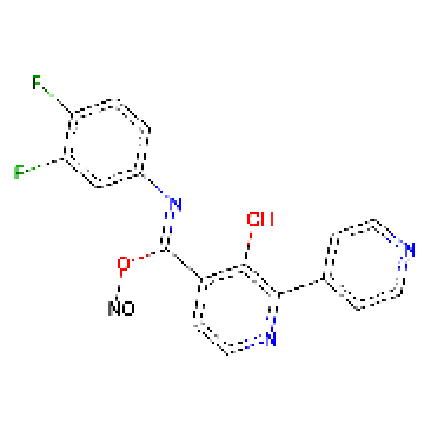 O=NOC(=Nc1ccc(F)c(F)c1)c1ccnc(-c2ccncc2)c1O